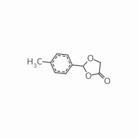 Cc1ccc(C2OCC(=O)O2)cc1